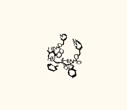 CC(C)[C@H](NC(=O)OCc1cccnc1)C(=O)N[C@@H](Cc1ccccc1)C[C@H](O)[C@H](Cc1ccccc1)NC(=O)OCc1cccnc1